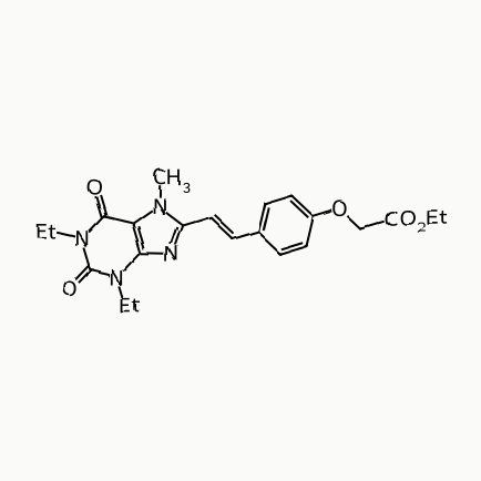 CCOC(=O)COc1ccc(C=Cc2nc3c(c(=O)n(CC)c(=O)n3CC)n2C)cc1